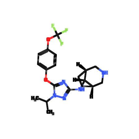 CC(C)n1nc(N[C@@H]2[C@@H]3CC[C@H]2CNC3)nc1Oc1ccc(OC(F)(F)F)cc1